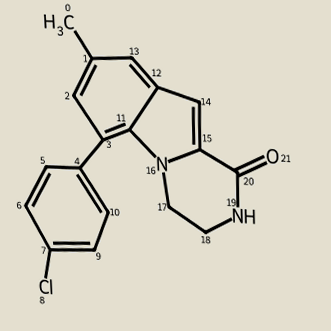 Cc1cc(-c2ccc(Cl)cc2)c2c(c1)cc1n2CCNC1=O